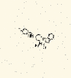 CCN(C(=O)c1cc2ccccc2[nH]1)[C@H]1CCC[C@H](NCc2ccc(F)cc2)C1